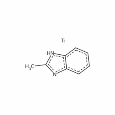 Cc1nc2ccccc2[nH]1.[Ti]